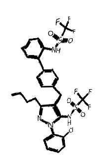 CCCCc1nn(-c2ccccc2Cl)c(NS(=O)(=O)C(F)(F)F)c1Cc1ccc(-c2ccccc2NS(=O)(=O)C(F)(F)F)cc1